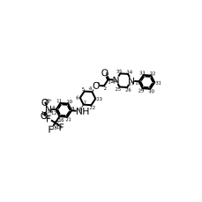 O=C(CO[C@H]1CC[C@@H](Nc2ccc([N+](=O)[O-])c(C(F)(F)F)c2)CC1)N1CCN(c2ccccc2)CC1